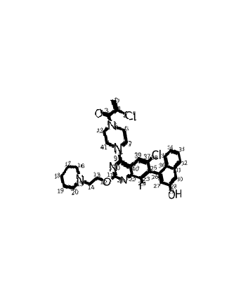 C=C(Cl)C(=O)N1CCN(c2nc(OCCN3CCCCC3)nc3c(F)c(-c4cc(O)cc5ccccc45)c(Cl)cc23)CC1